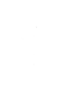 CCC(C)C1C(=O)c2ccccc2C1=O